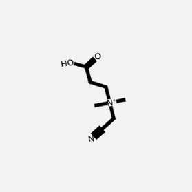 C[N+](C)(CC#N)CCC(=O)O